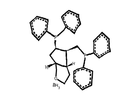 B.c1ccc(P(C[C@H]2[C@@H]3CCO[C@@H]3C[C@H]2P(c2ccccc2)c2ccccc2)c2ccccc2)cc1